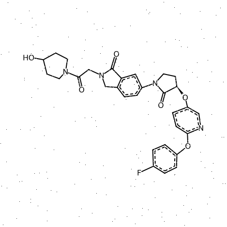 O=C(CN1Cc2ccc(N3CC[C@@H](Oc4ccc(Oc5ccc(F)cc5)nc4)C3=O)cc2C1=O)N1CCC(O)CC1